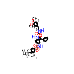 COc1ccc(CCNC(=O)Oc2[nH]c3ccc(NS(=O)(=O)c4ccc(C(C)(C)C)cc4)cc3c2-c2ccccc2)cc1OC